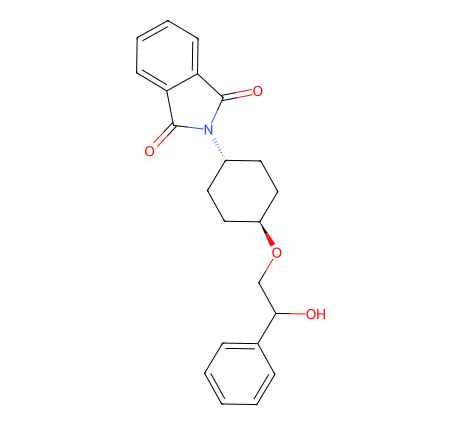 O=C1c2ccccc2C(=O)N1[C@H]1CC[C@H](OCC(O)c2ccccc2)CC1